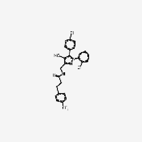 N#Cc1c(CNC(=O)CCc2ccc(C(F)(F)F)cc2)nn(-c2ccccc2Cl)c1-c1ccc(Cl)cc1